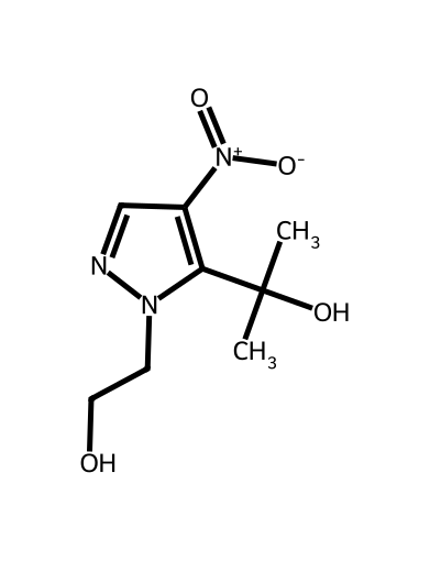 CC(C)(O)c1c([N+](=O)[O-])cnn1CCO